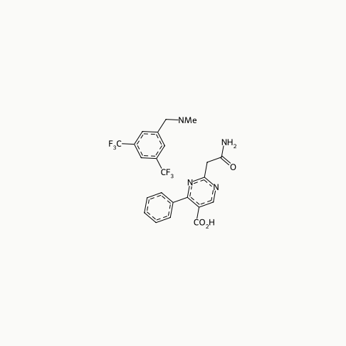 CNCc1cc(C(F)(F)F)cc(C(F)(F)F)c1.NC(=O)Cc1ncc(C(=O)O)c(-c2ccccc2)n1